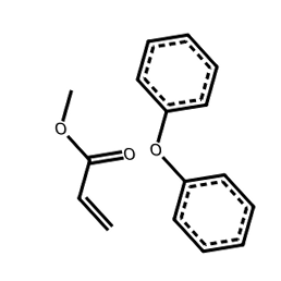 C=CC(=O)OC.c1ccc(Oc2ccccc2)cc1